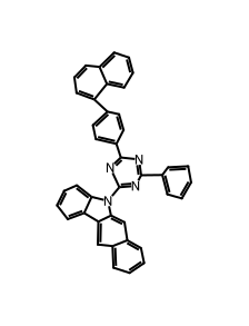 c1ccc(-c2nc(-c3ccc(-c4cccc5ccccc45)cc3)nc(-n3c4ccccc4c4cc5ccccc5cc43)n2)cc1